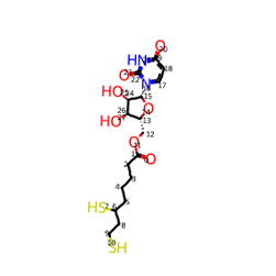 O=C(CCCCC(S)CCS)OC[C@H]1O[C@@H](n2ccc(=O)[nH]c2=O)[C@H](O)[C@@H]1O